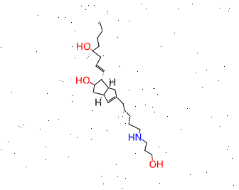 CCCC[C@](C)(O)C/C=C/[C@@H]1[C@H]2CC(CCCCCNCCCO)=C[C@H]2C[C@H]1O